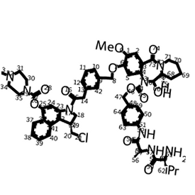 COc1cc2c(cc1OCc1cccc(CC(=O)N3C[C@@H](CCl)c4c3cc(OC(=O)N3CCN(C)CC3)c3ccccc43)c1)N(C(=O)OCc1ccc(NC(=O)[C@H](C)NC(=O)[C@@H](N)C(C)C)cc1)C(O)[C@@H]1CCCCN1C2=O